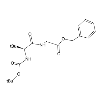 CC(C)(C)OC(=O)N[C@H](C(=O)NCC(=O)OCc1ccccc1)C(C)(C)C